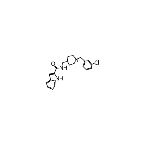 O=C(NCC1CCN(Cc2cccc(Cl)c2)CC1)c1cc2ccccc2[nH]1